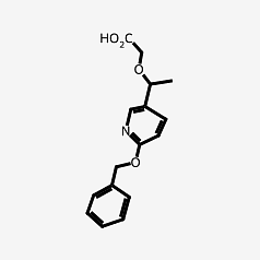 CC(OCC(=O)O)c1ccc(OCc2ccccc2)nc1